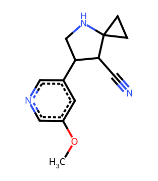 COc1cncc(C2CNC3(CC3)C2C#N)c1